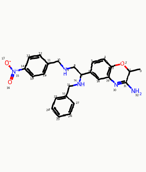 CC1Oc2ccc(C(CNCc3ccc([N+](=O)[O-])cc3)NCc3ccccc3)cc2N=C1N